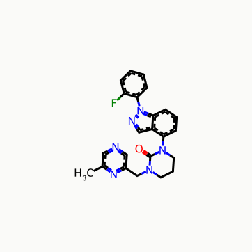 Cc1cncc(CN2CCCN(c3cccc4c3cnn4-c3ccccc3F)C2=O)n1